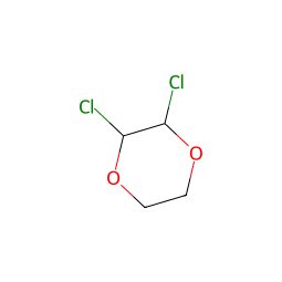 ClC1OCCOC1Cl